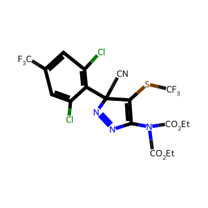 CCOC(=O)N(C(=O)OCC)C1=C(SC(F)(F)F)C(C#N)(c2c(Cl)cc(C(F)(F)F)cc2Cl)N=N1